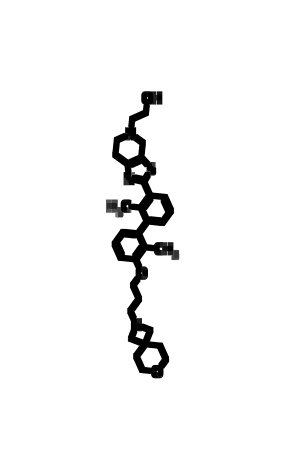 Cc1c(OCCCN2CC3(CCOCC3)C2)cccc1-c1cccc(-c2nc3c(s2)CN(CCO)CC3)c1C